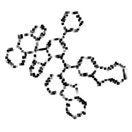 c1ccc(-c2cc(N(c3ccc4c(c3)sc3ccccc34)c3cccc4c3sc3ccccc34)c3c(c2)C2(c4ccccc4Oc4ccccc42)c2ccccc2-3)cc1